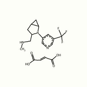 CNCC1CC2CC2N1c1cncc(C(F)(F)F)c1.O=C(O)C=CC(=O)O